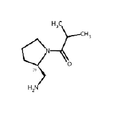 CC(C)C(=O)N1CCC[C@@H]1CN